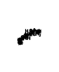 CN(C(=O)C1CC1c1ccccc1)C1CC(c2cc(NC(=O)Cc3cccc4ccccc34)n[nH]2)C1